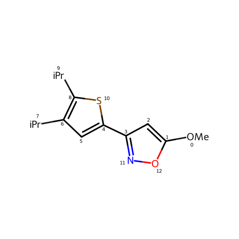 COc1cc(-c2cc(C(C)C)c(C(C)C)s2)no1